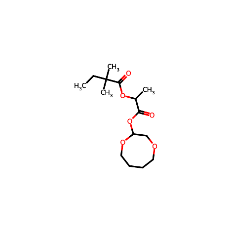 CCC(C)(C)C(=O)OC(C)C(=O)OC1COCCCCO1